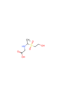 CC(NCC(=O)O)S(=O)(=O)CCO